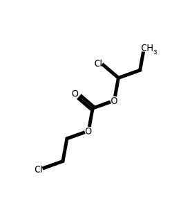 CCC(Cl)OC(=O)OCCCl